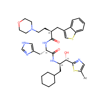 CC(=O)c1cnc([C@@H](O)[C@@H](CC2CCCCC2)NC(=O)[C@H](Cc2c[nH]cn2)NC(=O)[C@@H](CCN2CCOCC2)Cc2csc3ccccc23)s1